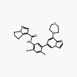 Cc1cc(F)c(NC(=O)c2cnn3c2CCC3)cc1-c1cc(N2CCOCC2)c2nccn2c1